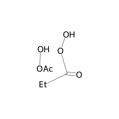 CC(=O)OO.CCC(=O)OO